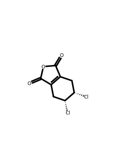 O=C1OC(=O)C2=C1C[C@@H](Cl)[C@@H](Cl)C2